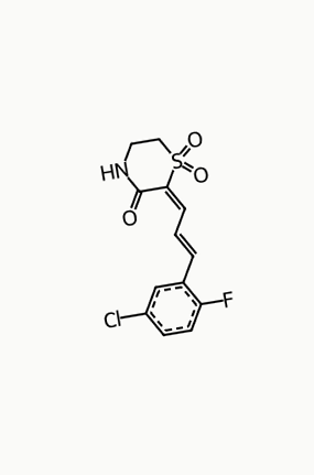 O=C1NCCS(=O)(=O)/C1=C/C=C/c1cc(Cl)ccc1F